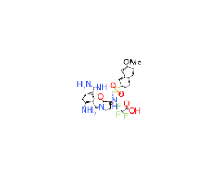 COc1ccc2ccc(S(=O)(=O)CN[C@H]3CCN(Cc4cc(C(=N)N)ccc4N)C3=O)cc2c1.O=C(O)C(F)(F)F